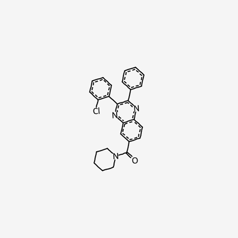 O=C(c1ccc2nc(-c3ccccc3)c(-c3ccccc3Cl)nc2c1)N1CCCCC1